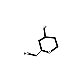 OC[C@@H]1CC(O)CCO1